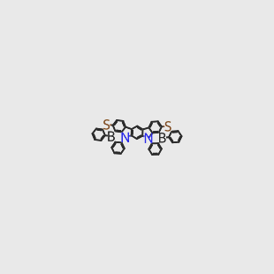 c1ccc2c(c1)Sc1ccc3c4cc5c6ccc7c8c6n(c5cc4n4c3c1B2c1ccccc1-4)-c1ccccc1B8c1ccccc1S7